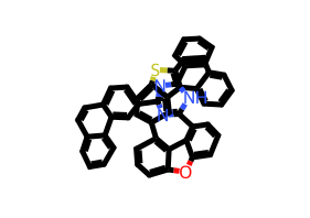 c1ccc(C2N=C(c3ccc4ccc5ccccc5c4c3)N=C(c3cccc4oc5cccc(-c6ccc7sc8ccc9ccccc9c8c7c6)c5c34)N2)cc1